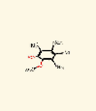 CCCCCCCCCc1c(CCCCCCCCC)c(OOC)c(O)c(C(=O)O)c1CCCCCCCCC